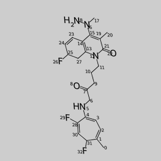 CC1=CC=C(NCC(=O)CCCn2c3c(c(N(C)N)c(C)c2=O)C=CC(F)C3)C(F)=CC1F